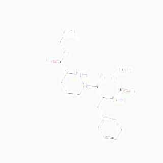 CC(C)(C)OC(=O)NC(Cc1ccccc1)C(=O)N1CCCC(C(=O)OCC(Cl)(Cl)Cl)N1